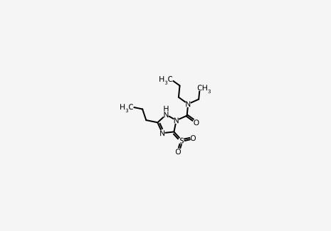 CCCc1nc(=S(=O)=O)n(C(=O)N(CC)CCC)[nH]1